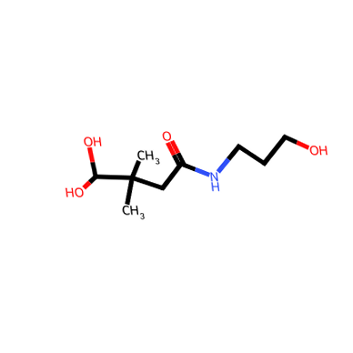 CC(C)(CC(=O)NCCCO)C(O)O